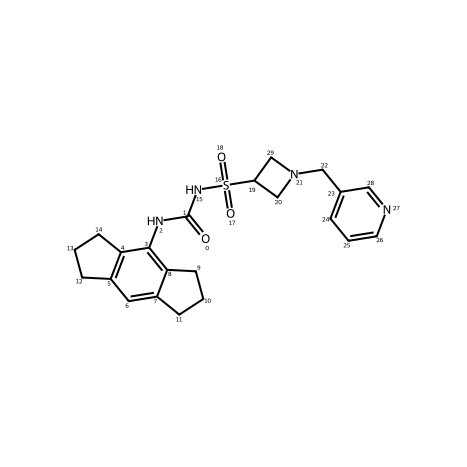 O=C(Nc1c2c(cc3c1CCC3)CCC2)NS(=O)(=O)C1CN(Cc2cccnc2)C1